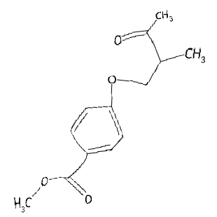 COC(=O)c1ccc(OCC(C)C(C)=O)cc1